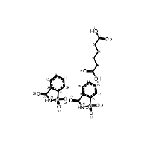 O=C(O)CCCCC(=O)O.O=C1NS(=O)(=O)c2ccccc21.O=C1NS(=O)(=O)c2ccccc21